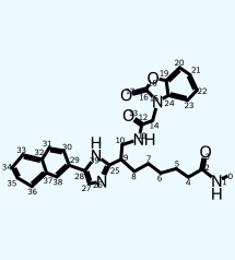 CNC(=O)CCCCCC(CNC(=O)Cn1c(=O)oc2ccccc21)c1ncc(-c2ccc3ccccc3c2)[nH]1